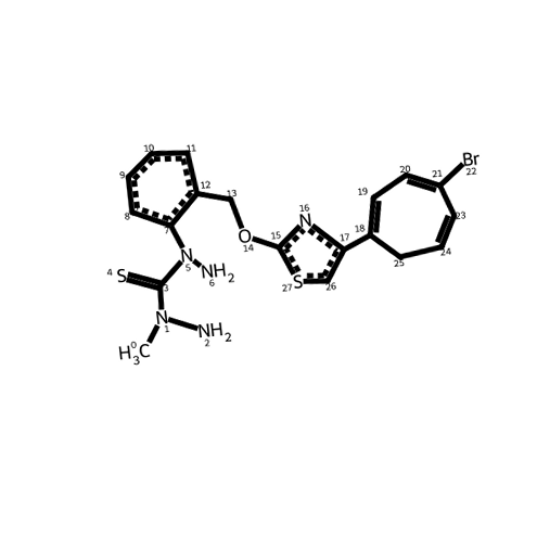 CN(N)C(=S)N(N)c1ccccc1COc1nc(C2=CC=C(Br)C=CC2)cs1